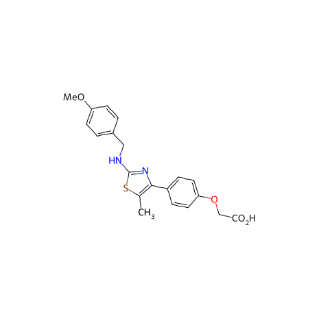 COc1ccc(CNc2nc(-c3ccc(OCC(=O)O)cc3)c(C)s2)cc1